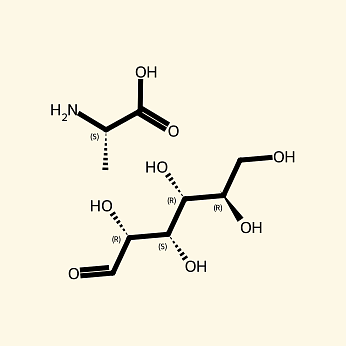 C[C@H](N)C(=O)O.O=C[C@H](O)[C@@H](O)[C@H](O)[C@H](O)CO